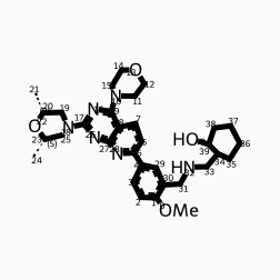 COc1ccc(-c2ccc3c(N4CCOCC4)nc(N4C[C@@H](C)O[C@@H](C)C4)nc3n2)cc1CNCC1CCCCC1O